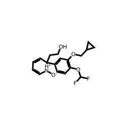 [O-][NH+]1C=CC=CC1(CCO)c1ccc(OC(F)F)c(OCC2CC2)c1